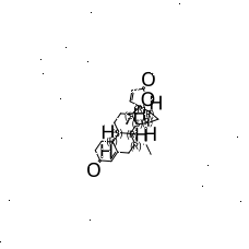 CC[C@@H]1CC2=CC(=O)CC[C@@H]2[C@H]2CC[C@@]3(C)[C@@H]([C@H]4C[C@H]4[C@@]34C=CC(=O)O4)[C@H]12